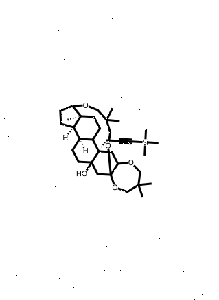 CC1(C)COC2C[C@]3(CC#C[Si](C)(C)C)C4CC[C@]5(C)C6CC[C@@H]5[C@@H]4CCC3(O)CC2(OC1)OCC(C)(C)CO6